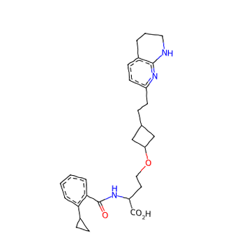 O=C(NC(CCOC1CC(CCc2ccc3c(n2)NCCC3)C1)C(=O)O)c1ccccc1C1CC1